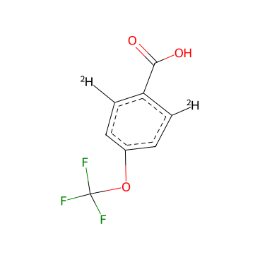 [2H]c1cc(OC(F)(F)F)cc([2H])c1C(=O)O